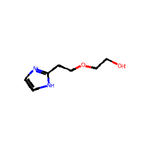 OCCOCCC1=[N+]C=CN1